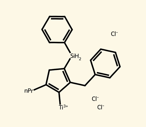 CCCC1=[C]([Ti+3])C(Cc2ccccc2)=C([SiH2]c2ccccc2)C1.[Cl-].[Cl-].[Cl-]